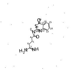 CN(C(=O)CCCC(=N)N)c1nc2ccccc2c(=O)s1